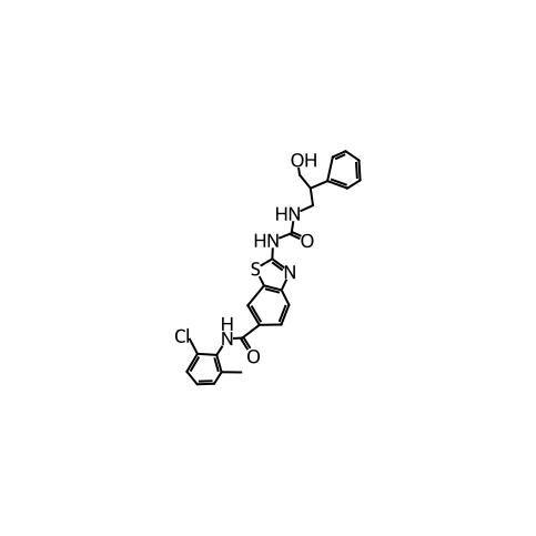 Cc1cccc(Cl)c1NC(=O)c1ccc2nc(NC(=O)NCC(CO)c3ccccc3)sc2c1